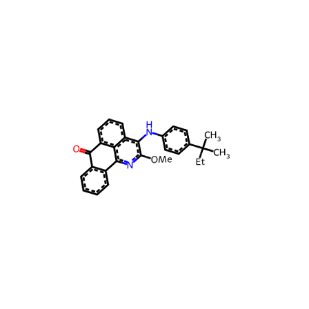 CCC(C)(C)c1ccc(Nc2c(OC)nc3c4c(cccc24)C(=O)c2ccccc2-3)cc1